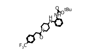 CC(C)(C)OC(=O)Nc1ccccc1NC1CCN(C(=O)Cc2ccc(C(F)(F)F)cc2)CC1